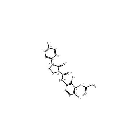 NC(=O)Oc1c(F)ccc(NC(=O)N2CCN(c3ccc(F)cc3)C2=O)c1F